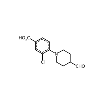 O=CC1CCN(c2ccc(C(=O)O)cc2Cl)CC1